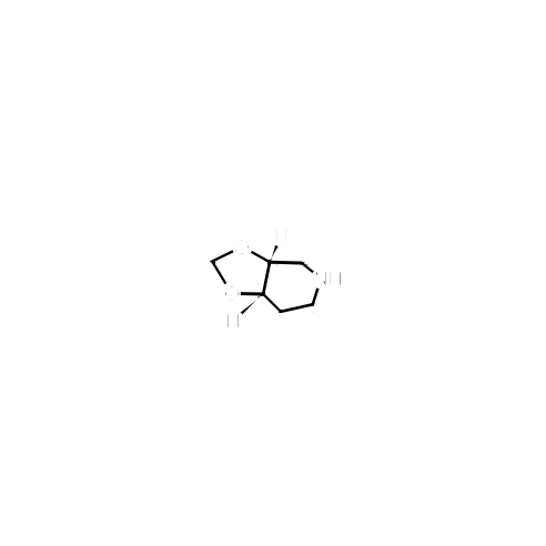 [CH]1NCC[C@@H]2OCO[C@H]12